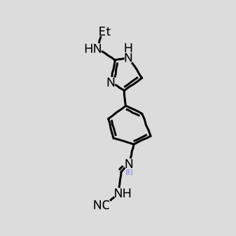 CCNc1nc(-c2ccc(/N=C/NC#N)cc2)c[nH]1